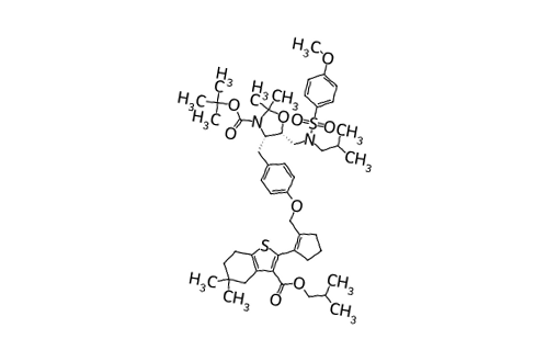 COc1ccc(S(=O)(=O)N(CC(C)C)C[C@H]2OC(C)(C)N(C(=O)OC(C)(C)C)[C@H]2Cc2ccc(OCC3=C(c4sc5c(c4C(=O)OCC(C)C)CC(C)(C)CC5)CCC3)cc2)cc1